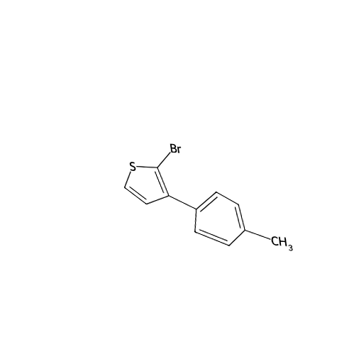 Cc1ccc(-c2ccsc2Br)cc1